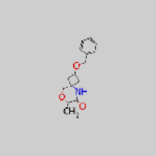 CC1OCC2(CC(OCc3ccccc3)C2)NC1=O